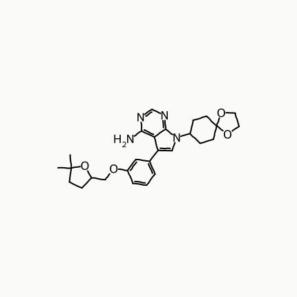 CC1(C)CCC(COc2cccc(-c3cn(C4CCC5(CC4)OCCO5)c4ncnc(N)c34)c2)O1